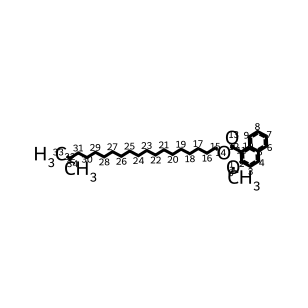 COc1ccc2ccccc2c1C(=O)OCCCCCCCCCCCCCCCCCC(C)C